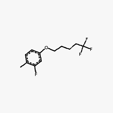 Cc1ccc(OCCCCC(F)(F)F)cc1F